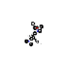 CCCCCC(CC)(c1ccc(N(c2ccccc2)c2ccccc2)cc1)c1ccc(N(c2ccc(C3CCCCC3)cc2)c2cccc3c2[Si](C)(C)c2ccccc2-3)cc1